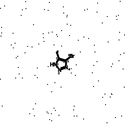 Cc1[nH]nnc1Br